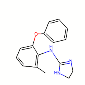 Cc1cccc(Oc2ccccc2)c1NC1=NCCN1